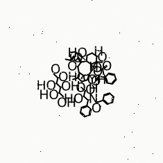 CC(=O)O[C@H]1C(=O)[C@@]2(C)[C@H]([C@H](OC(=O)c3ccccc3)[C@]3(O)C[C@H](OC(=O)[C@H](O)[C@@H](NC(=O)c4ccccc4)c4ccccc4)C(C)=C1C3(C)C)[C@]1(OC(C)=O)CO[C@@H]1C[C@@H]2O.O=C[C@@H](O)[C@@H](O)[C@H](O)[C@H](O)CO